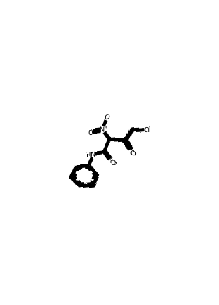 O=C(CCl)C(C(=O)Nc1ccccc1)[N+](=O)[O-]